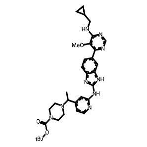 COc1c(NCC2CC2)ncnc1-c1ccc2nc(Nc3cc(C(C)N4CCN(C(=O)OC(C)(C)C)CC4)ccn3)[nH]c2c1